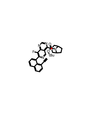 C#Cc1cccc2cccc(-c3ncc4c(N5CC6CCC(C5)N6C(=O)OC(C)(C)C)ncnc4c3F)c12